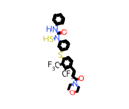 O=C(C=Cc1ccc(Sc2cccc(N(S)C(=O)Nc3ccccc3)c2)c(C(F)(F)F)c1C(F)(F)F)N1CCOCC1